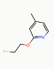 Cc1ccnc(OCCF)c1